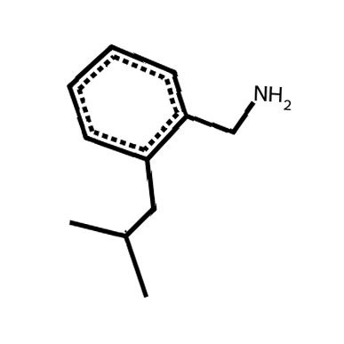 C[C](C)Cc1ccccc1CN